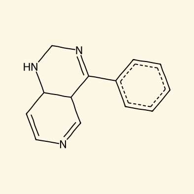 C1=CC2NCN=C(c3ccccc3)C2C=N1